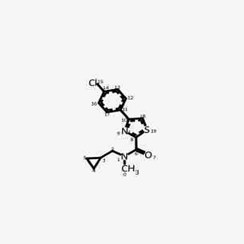 CN(CC1CC1)C(=O)c1nc(-c2ccc(Cl)cc2)cs1